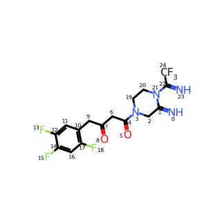 N=C1CN(C(=O)CC(=O)Cc2cc(F)c(F)cc2F)CCN1C(=N)C(F)(F)F